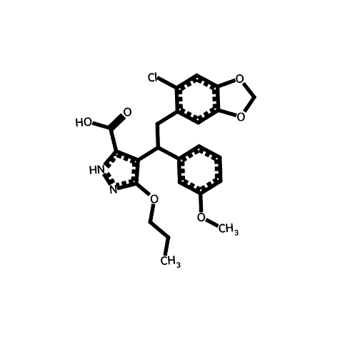 CCCOc1n[nH]c(C(=O)O)c1C(Cc1cc2c(cc1Cl)OCO2)c1cccc(OC)c1